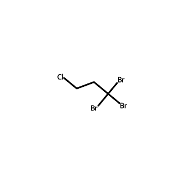 ClCCC(Br)(Br)Br